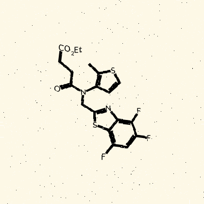 CCOC(=O)CCC(=O)N(Cc1nc2c(F)c(F)cc(F)c2s1)c1ccsc1C